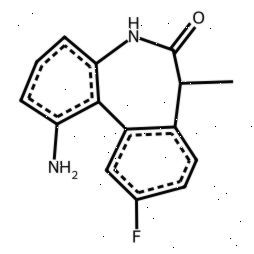 CC1C(=O)Nc2cccc(N)c2-c2cc(F)ccc21